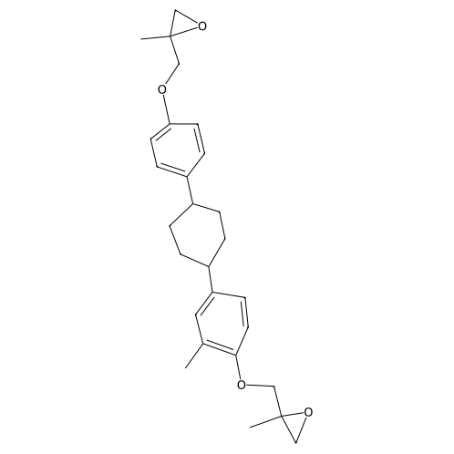 Cc1cc(C2CCC(c3ccc(OCC4(C)CO4)cc3)CC2)ccc1OCC1(C)CO1